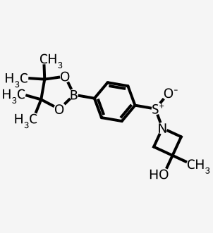 CC1(O)CN([S+]([O-])c2ccc(B3OC(C)(C)C(C)(C)O3)cc2)C1